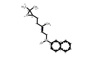 C/C(=C\C[S+]([O-])c1ccc2ccccc2c1)CCC1OC1(C)C